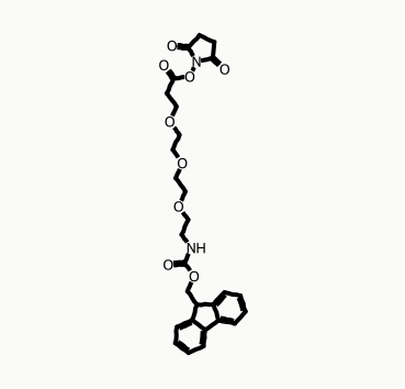 O=C(CCOCCOCCOCCNC(=O)OCC1c2ccccc2-c2ccccc21)ON1C(=O)CCC1=O